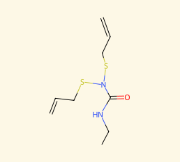 C=CCSN(SCC=C)C(=O)NCC